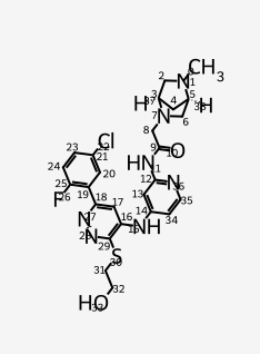 CN1C[C@H]2C[C@@H]1CN2CC(=O)Nc1cc(Nc2cc(-c3cc(Cl)ccc3F)nnc2SCCO)ccn1